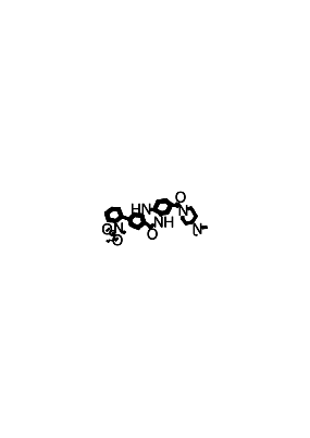 CN(C)C1CCN(C(=O)c2ccc3c(c2)NC(=O)c2ccc(-c4ccccc4N(C)S(C)(=O)=O)cc2N3)CC1